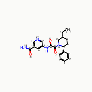 CC[C@H]1CC[C@H](c2ccccc2)N(C(=O)C(=O)Nc2cncc(C(N)=O)c2)C1